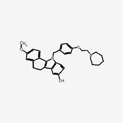 COc1ccc2c(c1)CCc1c-2n(Cc2ccc(OCCN3CCCCCC3)cc2)c2ccc(O)cc12